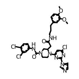 COc1ccc(CCCNC(=O)CC2CN(C(=O)Nc3ccc(Cl)c(Cl)c3)CCN2c2cc(Cl)nc(-n3ccnc3)n2)cc1OC